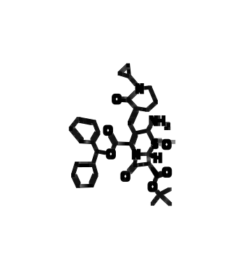 CC(C)(C)OC(=O)[C@H]1C(=O)N2C(C(=O)OC(c3ccccc3)c3ccccc3)=C(C=C3CCCN(C4CC4)C3=O)C(N)[S@+]([O-])[C@H]12